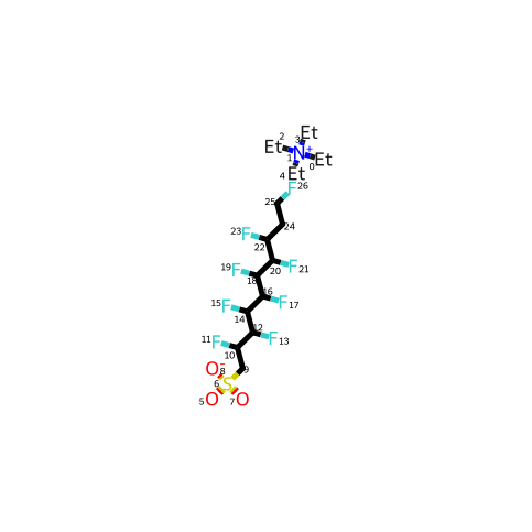 CC[N+](CC)(CC)CC.O=S(=O)([O-])CC(F)C(F)C(F)C(F)C(F)C(F)C(F)CCF